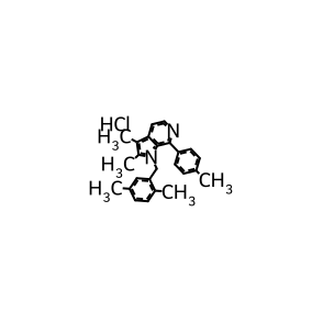 Cc1ccc(-c2nccc3c(C)c(C)n(Cc4cc(C)ccc4C)c23)cc1.Cl